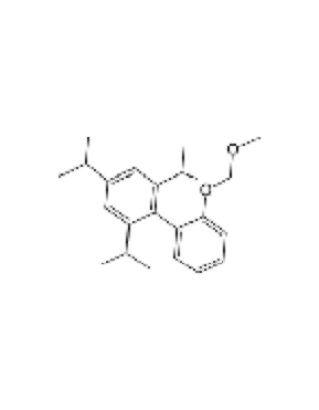 COCOc1ccccc1-c1c(C(C)C)cc(C(C)C)cc1C(C)C